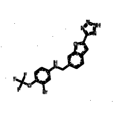 FC(F)(F)Oc1ccc(NCc2ccc3cc(-c4nn[nH]n4)oc3c2)cc1Br